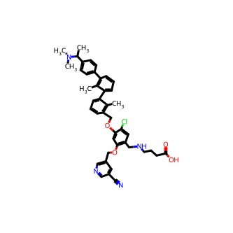 Cc1c(COc2cc(OCc3cncc(C#N)c3)c(CNCCCC(=O)O)cc2Cl)cccc1-c1cccc(-c2ccc(C(C)N(C)C)cc2)c1C